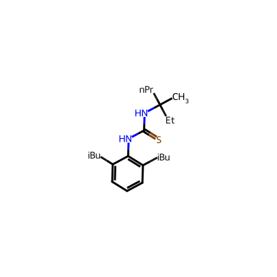 CCCC(C)(CC)NC(=S)Nc1c(C(C)CC)cccc1C(C)CC